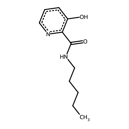 CCCCCNC(=O)c1ncccc1O